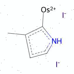 Cc1cc[nH][c]1[Os+2].[I-].[I-]